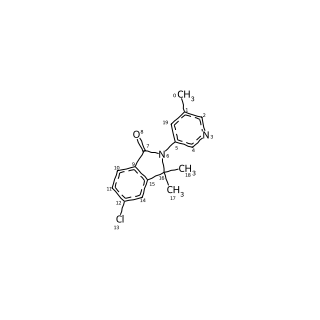 Cc1cncc(N2C(=O)c3ccc(Cl)cc3C2(C)C)c1